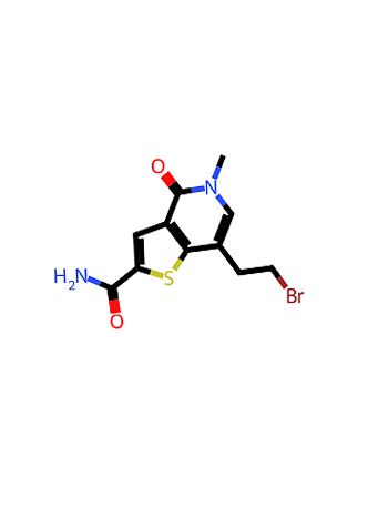 Cn1cc(CCBr)c2sc(C(N)=O)cc2c1=O